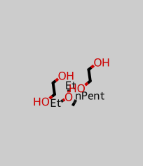 CCCCCC.CCOCC.OCCO.OCCO